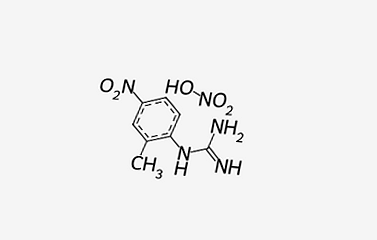 Cc1cc([N+](=O)[O-])ccc1NC(=N)N.O=[N+]([O-])O